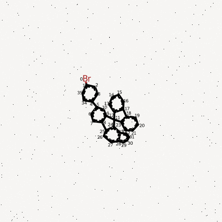 Brc1ccc(-c2ccc3c(c2)C2(c4ccccc4-c4ccccc42)c2c-3ccc3ccccc23)cc1